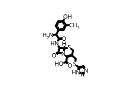 Cc1cc(C(N)C(=O)NC2C(=O)N3C(C(=O)O)=C(CSc4cnn[nH]4)CS[C@@H]23)ccc1O